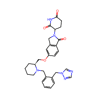 O=C1CCC(N2Cc3cc(OC[C@@H]4CCCCN4Cc4ccccc4Cn4cncn4)ccc3C2=O)C(=O)N1